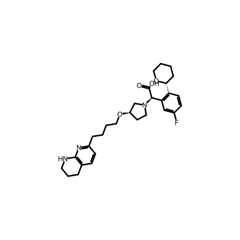 O=C(O)[C@@H](c1cc(F)ccc1[C@H]1CCCCO1)N1CC[C@@H](OCCCCc2ccc3c(n2)NCCC3)C1